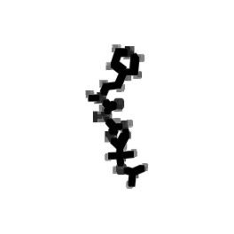 CC(C)OC(C)(C)c1csc(NC(=O)N(C)CCc2ccncc2)n1